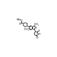 C[C@@H]1CN(C(=O)OC(C)(C)C)CCN1c1ccc2c(C3CCC(=O)NC3=O)nn(C)c2c1